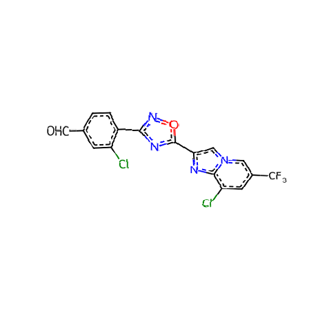 O=Cc1ccc(-c2noc(-c3cn4cc(C(F)(F)F)cc(Cl)c4n3)n2)c(Cl)c1